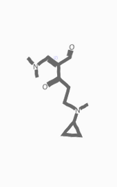 CN(C)/C=C(/C=O)C(=O)CCN(C)C1CC1